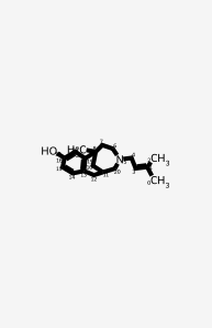 CC(C)=CCN1CCC2(C)CC(Cc3ccc(O)cc32)C1